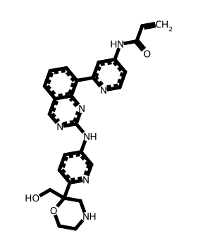 C=CC(=O)Nc1ccnc(-c2cccc3cnc(Nc4ccc(C5(CO)CNCCO5)nc4)nc23)c1